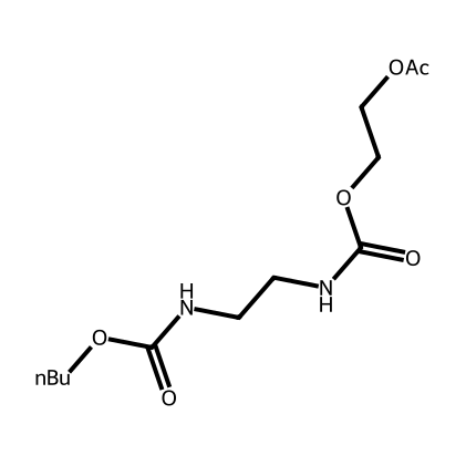 CCCCOC(=O)NCCNC(=O)OCCOC(C)=O